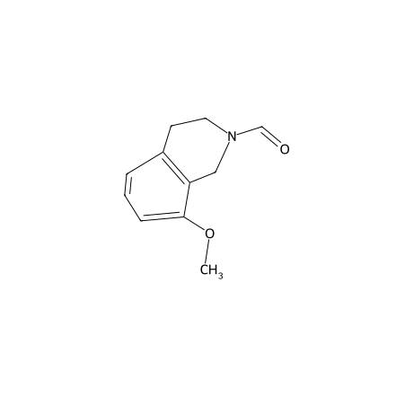 COc1cccc2c1CN(C=O)CC2